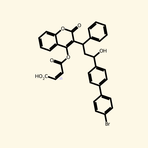 O=C(O)/C=C\C(=O)Oc1c(C(CC(O)c2ccc(-c3ccc(Br)cc3)cc2)c2ccccc2)c(=O)oc2ccccc12